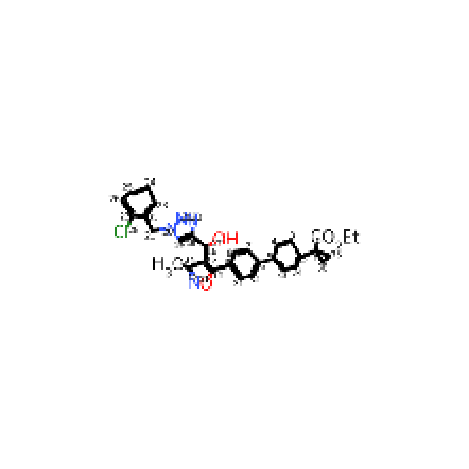 CCOC(=O)C1(c2ccc(-c3ccc(-c4onc(C)c4C(O)c4cn(Cc5ccccc5Cl)nn4)cc3)cc2)CC1